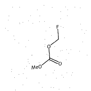 COC(=O)OCF